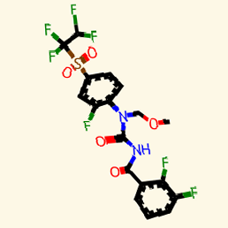 COCN(C(=O)NC(=O)c1cccc(F)c1F)c1ccc(S(=O)(=O)C(F)(F)C(F)F)cc1F